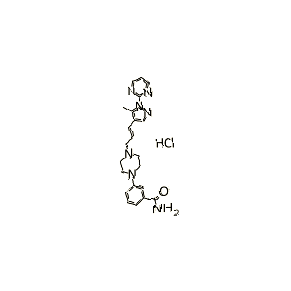 Cc1c(C=CCN2CCN(c3cccc(C(N)=O)c3)CC2)cnn1-c1ncccn1.Cl